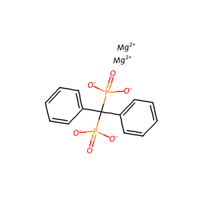 O=P([O-])([O-])C(c1ccccc1)(c1ccccc1)P(=O)([O-])[O-].[Mg+2].[Mg+2]